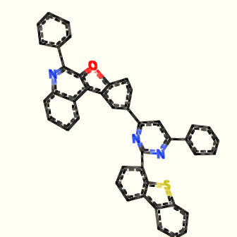 c1ccc(-c2cc(-c3ccc4oc5c(-c6ccccc6)nc6ccccc6c5c4c3)nc(-c3cccc4c3sc3ccccc34)n2)cc1